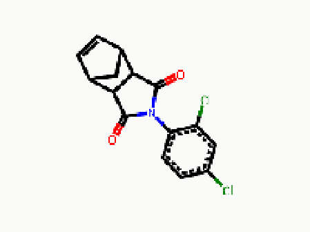 O=C1C2C3C=CC(C3)C2C(=O)N1c1ccc(Cl)cc1Cl